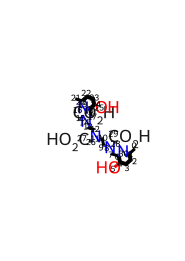 Cc1ccc(O)c(CN(CCN(CCN(CC(=O)O)Cc2nc(C)ccc2O)CC(=O)O)CC(=O)O)n1